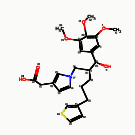 COc1cc([C@@H](O)[C@@H](CCCc2ccsc2)Cn2ccc(CC(=O)O)c2)cc(OC)c1OC